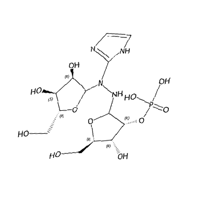 O=P(O)(O)O[C@H]1C(NN(c2ncc[nH]2)C2O[C@H](CO)[C@@H](O)[C@H]2O)O[C@H](CO)[C@H]1O